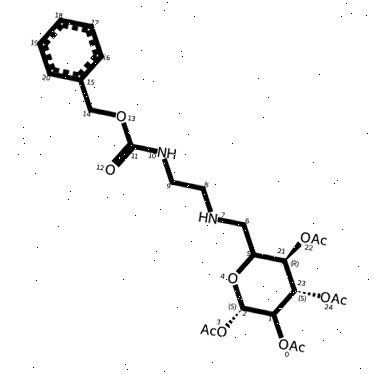 CC(=O)OC1[C@H](OC(C)=O)OC(CNCCNC(=O)OCc2ccccc2)[C@@H](OC(C)=O)[C@@H]1OC(C)=O